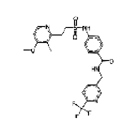 COc1ccnc(CCS(=O)(=O)Nc2ccc(C(=O)NCc3ccc(C(F)(F)F)nc3)cc2)c1C